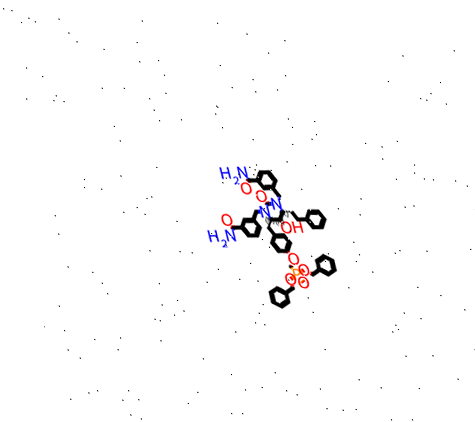 NC(=O)c1cccc(CN2C(=O)N(Cc3cccc(C(N)=O)c3)[C@H](Cc3ccc(OCP(=O)(OCc4ccccc4)OCc4ccccc4)cc3)[C@H](O)[C@H]2CCc2ccccc2)c1